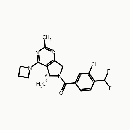 Cc1nc2c(c(N3CCC3)n1)[C@@H](C)N(C(=O)c1ccc(C(F)F)c(Cl)c1)C2